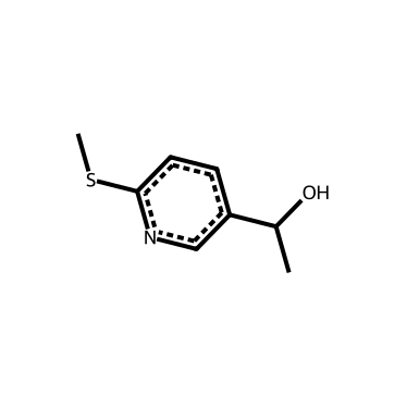 CSc1ccc(C(C)O)cn1